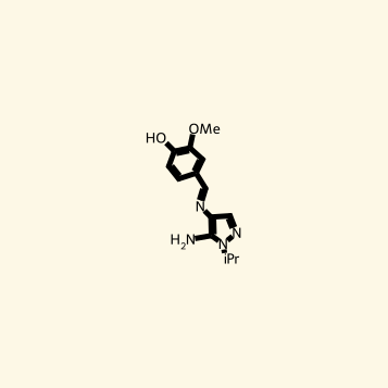 COc1cc(/C=N/c2cnn(C(C)C)c2N)ccc1O